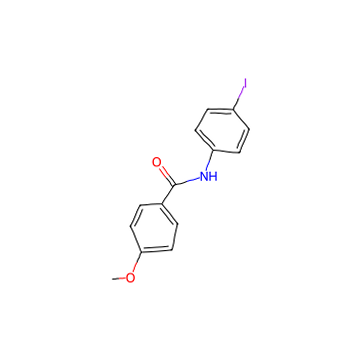 COc1ccc(C(=O)Nc2ccc(I)cc2)cc1